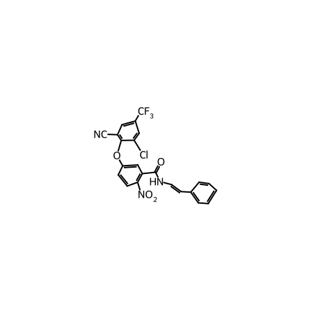 N#Cc1cc(C(F)(F)F)cc(Cl)c1Oc1ccc([N+](=O)[O-])c(C(=O)N/C=C/c2ccccc2)c1